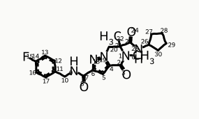 CN1C(=O)c2cc(C(=O)NCc3ccc(F)cc3)nn2CC1(C)C(=O)NC1CCCC1